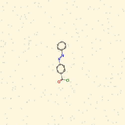 O=C(Cl)c1ccc(/N=N/c2ccccc2)cc1